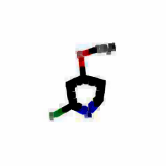 O=C(O)Oc1ccnc(F)c1